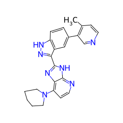 Cc1ccncc1-c1ccc2[nH]nc(-c3nc4c(N5CCCCC5)ccnc4[nH]3)c2c1